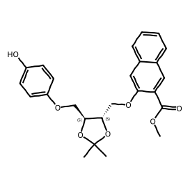 COC(=O)c1cc2ccccc2cc1OC[C@@H]1OC(C)(C)O[C@H]1COc1ccc(O)cc1